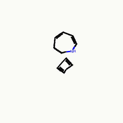 C1=CC=C1.C1=CCCNC=C1